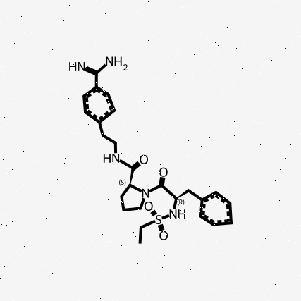 CCS(=O)(=O)N[C@H](Cc1ccccc1)C(=O)N1CCC[C@H]1C(=O)NCCc1ccc(C(=N)N)cc1